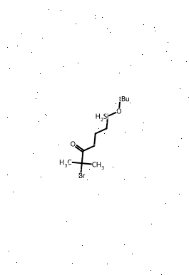 CC(C)(C)O[SiH2]CCCC(=O)C(C)(C)Br